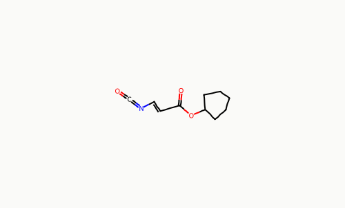 O=C=NC=CC(=O)OC1CCCCC1